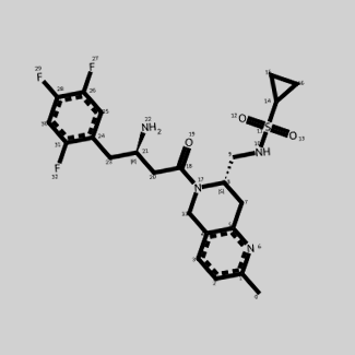 Cc1ccc2c(n1)C[C@@H](CNS(=O)(=O)C1CC1)N(C(=O)C[C@H](N)Cc1cc(F)c(F)cc1F)C2